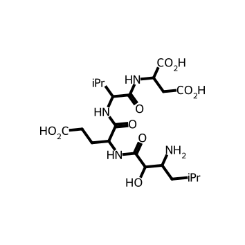 CC(C)CC(N)C(O)C(=O)NC(CCC(=O)O)C(=O)NC(C(=O)NC(CC(=O)O)C(=O)O)C(C)C